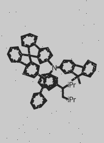 CC(C)CC(c1ccc(-c2ccc3c(c2)C2(c4ccccc4-3)c3ccccc3-c3ccc(N(c4ccc(-c5ccccc5)cc4)c4ccc5c(c4)C(C)(C)c4ccccc4-5)cc32)cc1)C(C)C